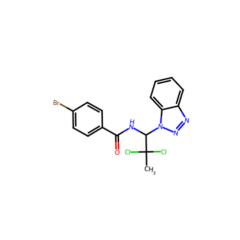 CC(Cl)(Cl)C(NC(=O)c1ccc(Br)cc1)n1nnc2ccccc21